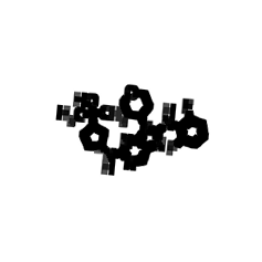 CC(C)(O)C1CC[C@H](Nc2ncc3nc(Nc4c(F)cccc4F)n(C4CCOCC4)c3n2)C1